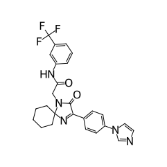 O=C(CN1C(=O)C(c2ccc(-n3ccnc3)cc2)=NC12CCCCC2)Nc1cccc(C(F)(F)F)c1